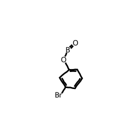 O=BOc1cccc(Br)c1